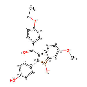 CCOc1ccc(C(=O)c2c(-c3ccc(O)cc3)[s+]([O-])c3cc(OC)ccc23)cc1